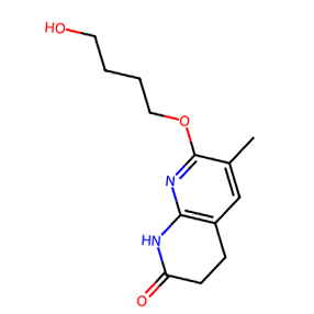 Cc1cc2c(nc1OCCCCO)NC(=O)CC2